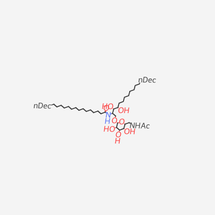 CCCCCCCCCCCCCCCCCCCCCCCCC(=O)NC(COC1OC(CNC(C)=O)C(O)C(O)C1O)C(O)C(O)CCCCCCCCCCCCCCCCCC